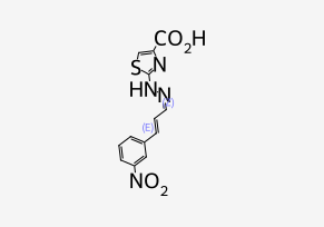 O=C(O)c1csc(N/N=C\C=C\c2cccc([N+](=O)[O-])c2)n1